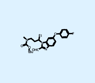 CCC(CCN(C)C(=O)OC(C)(C)C)n1c(C=O)nc2ccc(Oc3ccc(F)cc3)cc21